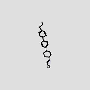 CCCc1ccc(-c2ccc([C@H]3CC[C@H](/C=C/Cl)CC3)cc2)cc1